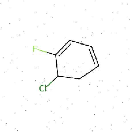 FC1=CC=CCC1Cl